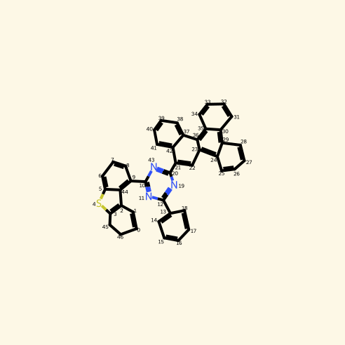 C1=Cc2c(sc3cccc(-c4nc(-c5ccccc5)nc(-c5cc6c7ccccc7c7ccccc7c6c6ccccc56)n4)c23)CC1